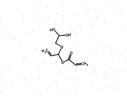 C=CC(=O)OC(C=C)OCC(O)O